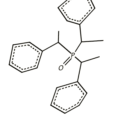 CC(c1ccccc1)P(=O)(C(C)c1ccccc1)C(C)c1ccccc1